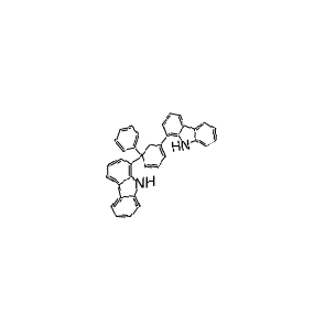 C1=CC(c2ccccc2)(c2cccc3c2[nH]c2ccccc23)CC(c2cccc3c2[nH]c2ccccc23)=C1